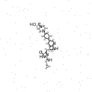 O=C1NC(NCC2CC2)=NC1=Cc1c[nH]c2ncc(-c3ccc(N4CCN(C(=O)O)CC4)cc3)cc12